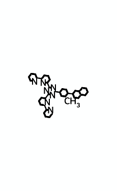 Cc1cc(-c2nc(-c3cccc(-c4ccccn4)n3)nc(-c3cccc(-c4ccccn4)n3)n2)ccc1-c1ccc2ccccc2c1